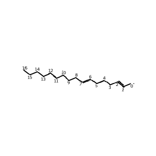 [CH2]/C=C/CCC/C=C/CCCCCCCCC